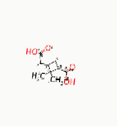 CC1(C)[C@@H](CC(=O)O)C[C@H]1C(=O)O